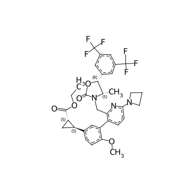 CCOC(=O)[C@H]1C[C@@H]1c1ccc(OC)c(-c2ccc(N3CCC3)nc2CN2C(=O)O[C@H](c3cc(C(F)(F)F)cc(C(F)(F)F)c3)[C@@H]2C)c1